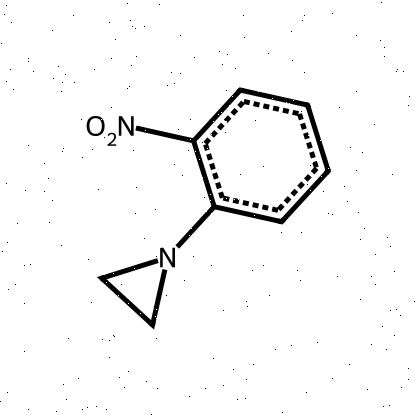 O=[N+]([O-])c1ccccc1N1CC1